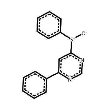 [O-][S+](c1ccccc1)c1cc(-c2ccccc2)ncn1